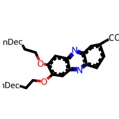 CCCCCCCCCCCCOc1cc2nc3ccc(C(=O)O)cc3nc2cc1OCCCCCCCCCCCC